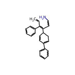 C=C/C(=C(\C=C/N)C1C=CC(c2ccccc2)=CC1)c1ccccc1